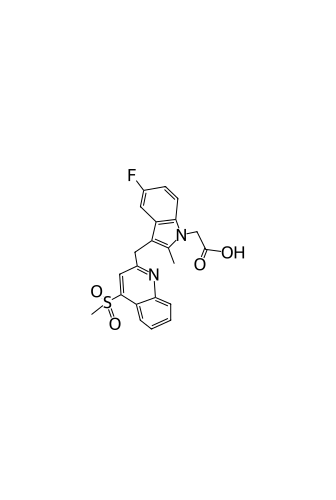 Cc1c(Cc2cc(S(C)(=O)=O)c3ccccc3n2)c2cc(F)ccc2n1CC(=O)O